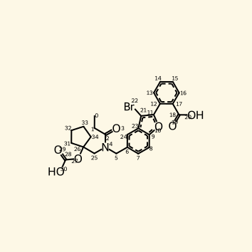 CCC(=O)N(Cc1ccc2oc(-c3ccccc3C(=O)O)c(Br)c2c1)CC1(OC(=O)O)CCCC1